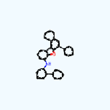 c1ccc(-c2ccccc2Nc2cccc3c2oc2c(-c4ccccc4)cc4ccccc4c23)cc1